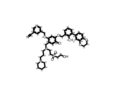 Cc1c(COc2cc(OCc3cncc(C#N)c3)c(CN(CCCN3CCCCC3)CCS(=O)(=O)CCO)cc2Cl)cccc1-c1ccc2c(c1)OCCO2